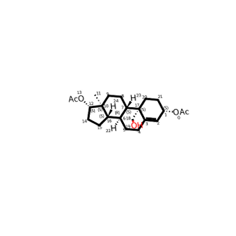 CC(=O)O[C@@H]1C=C2CC[C@@H]3[C@H](CC[C@]4(C)[C@@H](OC(C)=O)CC[C@@H]34)[C@@]2(CO)CC1